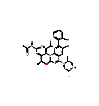 CC(=O)N(C)c1nc(C(C)C)c(-n2c(=O)nc(N3C[C@@H](C)NC[C@@H]3C)c3cc(Cl)c(-c4ccccc4F)nc32)c(C(C)C)n1